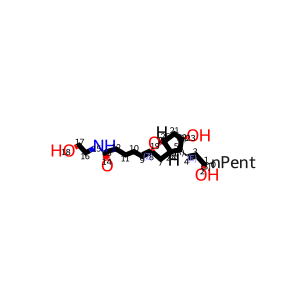 CCCCC[C@H](O)/C=C/[C@@H]1[C@H]2C/C(=C/CCCC(=O)NCCO)O[C@H]2C[C@H]1O